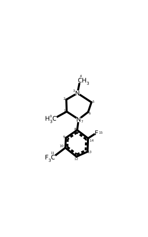 CC1CN(C)CCN1c1cc(C(F)(F)F)ccc1F